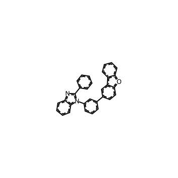 c1ccc(-c2nc3ccccc3n2-c2cccc(-c3ccc4oc5ccccc5c4c3)c2)cc1